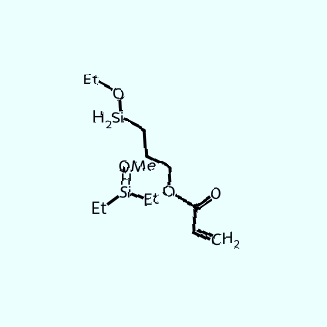 C=CC(=O)OCCC[SiH2]OCC.CC[SiH](CC)OC